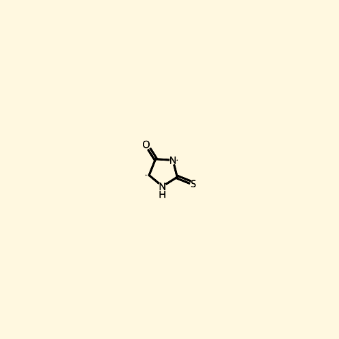 O=C1[CH]NC(=S)[N]1